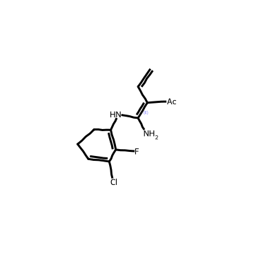 C=C/C(C(C)=O)=C(/N)NC1=C(F)C(Cl)=CCC1